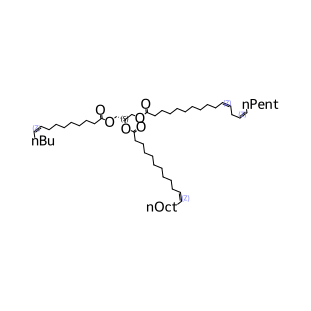 CCCC/C=C\CCCCCCCC(=O)OC[C@H](COC(=O)CCCCCCCCC/C=C\C/C=C\CCCCC)OC(=O)CCCCCCCCC/C=C\CCCCCCCC